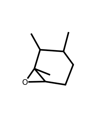 CC1CCC2OC2(C)C1C